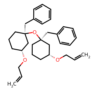 C=CCO[C@@H]1CCC[C@@](Cc2ccccc2)(O[C@]2(Cc3ccccc3)CCC[C@@H](OCC=C)C2)C1